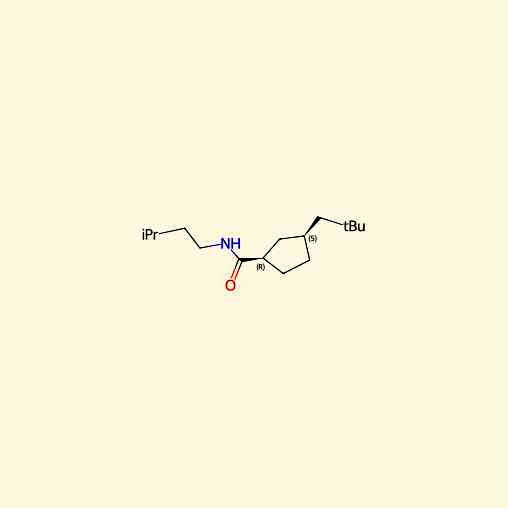 CC(C)CCNC(=O)[C@@H]1CC[C@H](CC(C)(C)C)C1